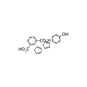 C1=CCC=C1.C1=CCC=C1.O=C(O)c1cccc(C(=O)O)c1.Oc1ccccc1